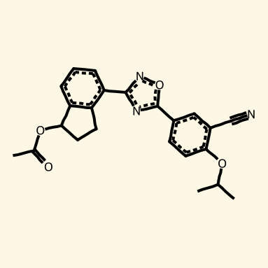 CC(=O)OC1CCc2c(-c3noc(-c4ccc(OC(C)C)c(C#N)c4)n3)cccc21